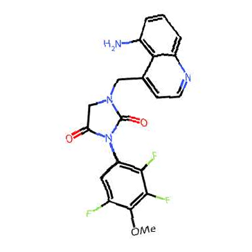 COc1c(F)cc(N2C(=O)CN(Cc3ccnc4cccc(N)c34)C2=O)c(F)c1F